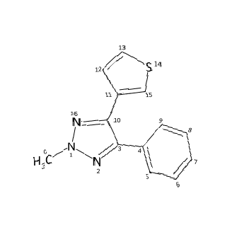 Cn1nc(-c2ccccc2)c(-c2ccsc2)n1